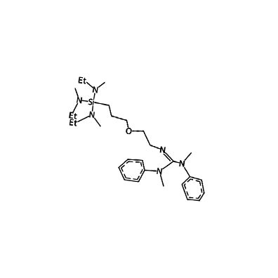 CCN(C)[Si](CCCOCCN=C(N(C)c1ccccc1)N(C)c1ccccc1)(N(C)CC)N(C)CC